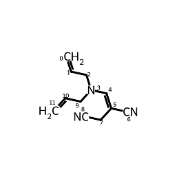 C=CCN(/C=C(/C#N)CC#N)CC=C